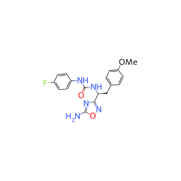 COc1ccc(C[C@H](NC(=O)Nc2ccc(F)cc2)c2noc(N)n2)cc1